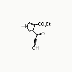 CCOC(=O)c1cn(C)cc1C(=O)C#CO